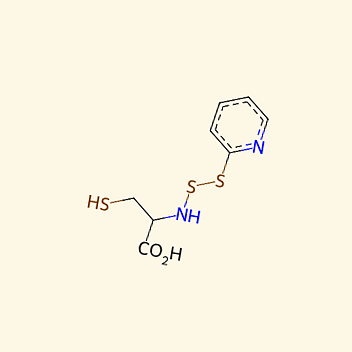 O=C(O)C(CS)NSSc1ccccn1